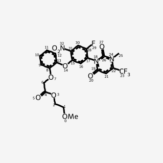 COCCOC(=O)COc1ccccc1Oc1cc(-n2c(=O)cc(C(F)(F)F)n(C)c2=O)c(F)cc1[N+](=O)[O-]